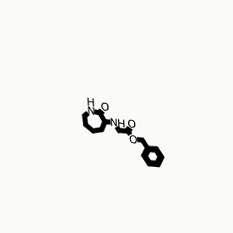 O=C(CNC1CCCCNC1=O)OCc1ccccc1